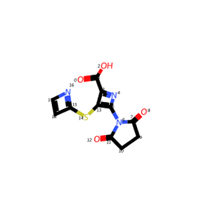 O=C(O)C1=NC(N2C(=O)CCC2=O)=C1SC1=NC=C1